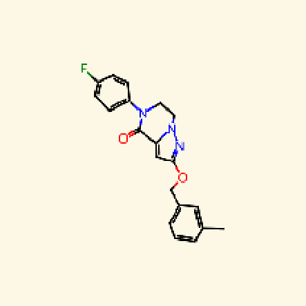 Cc1cccc(COc2cc3n(n2)CCN(c2ccc(F)cc2)C3=O)c1